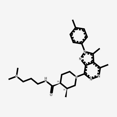 Cc1ccc(-n2nc3c(N4CC[C@H](C(=O)NCCCN(C)C)[C@H](C)C4)nnc(C)c3c2C)cc1